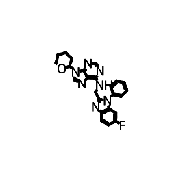 Fc1ccc2nc(CNc3ncnc4c3ncn4C3CCCCO3)n(-c3ccccc3)c2c1